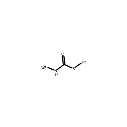 CC(C)SC(=O)NC(C)(C)C